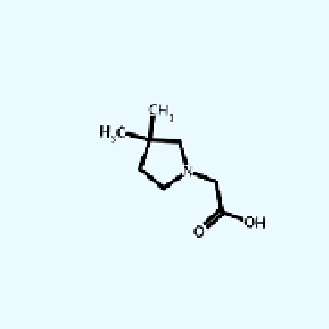 CC1(C)CCN(CC(=O)O)C1